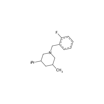 CC1CC(C(C)C)CN(Cc2ccccc2F)C1